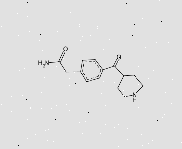 NC(=O)Cc1ccc(C(=O)C2CCNCC2)cc1